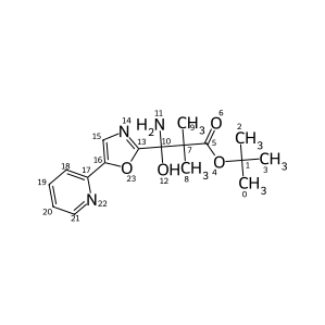 CC(C)(C)OC(=O)C(C)(C)C(N)(O)c1ncc(-c2ccccn2)o1